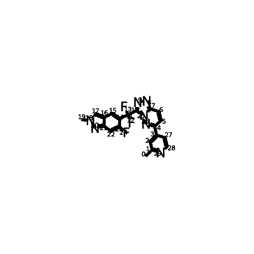 Cc1cc(-c2ccc3nnc(C(F)(F)c4cc5cn(C)nc5cc4F)n3n2)ccn1